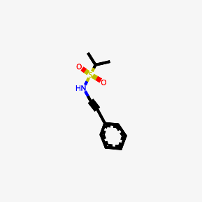 CC(C)S(=O)(=O)NC#Cc1ccccc1